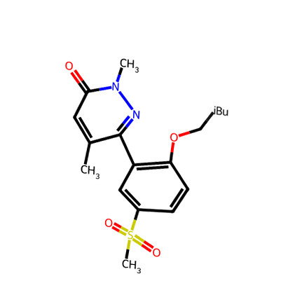 CCC(C)COc1ccc(S(C)(=O)=O)cc1-c1nn(C)c(=O)cc1C